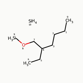 CCCCC(CC)CO[SiH3].[SiH4]